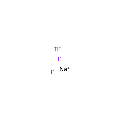 [I-].[I-].[Na+].[Tl+]